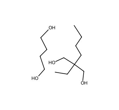 CCCCC(CC)(CO)CO.OCCCCO